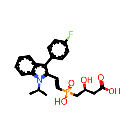 CC(C)n1c(C=CP(=O)(O)CC(O)CC(=O)O)c(-c2ccc(F)cc2)c2ccccc21